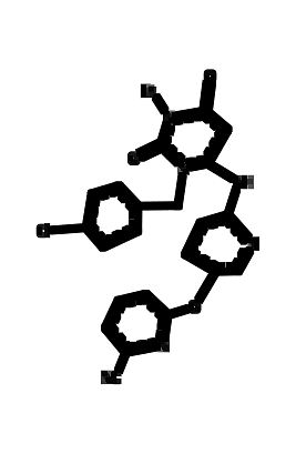 CCn1c(=O)cc(Nc2ccc(Oc3cccc(C#N)n3)cn2)n(Cc2ccc(Cl)cc2)c1=O